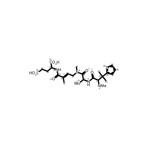 CNC(C(=O)NC(C(=O)N(C)C/C=C(\C)C(=O)NC(CCC(=O)O)C(=O)O)C(C)(C)C)C(C)(C)c1cccs1